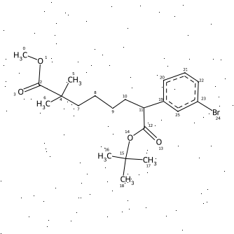 COC(=O)C(C)(C)CCCCC(C(=O)OC(C)(C)C)c1cccc(Br)c1